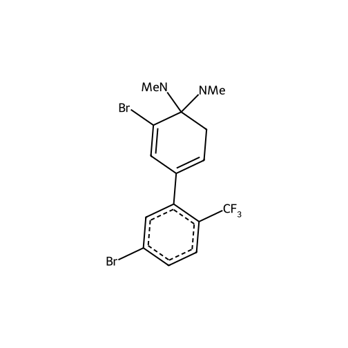 CNC1(NC)CC=C(c2cc(Br)ccc2C(F)(F)F)C=C1Br